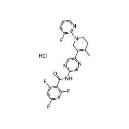 CC1=C(c2cnc(NC(=O)c3c(F)cc(F)cc3F)cn2)CN(c2ncccc2F)CC1.Cl